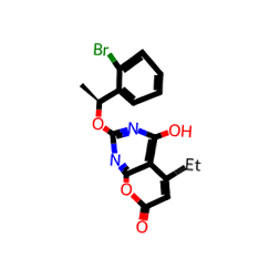 CCc1cc(=O)oc2nc(O[C@@H](C)c3ccccc3Br)nc(O)c12